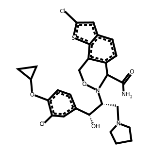 NC(=O)C1c2ccc3cc(Cl)sc3c2CON1[C@H](CN1CCCC1)[C@H](O)c1ccc(OC2CC2)c(Cl)c1